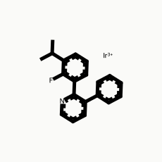 CC(C)c1cccc(-c2ncccc2-c2ccccc2)c1F.[Ir+3]